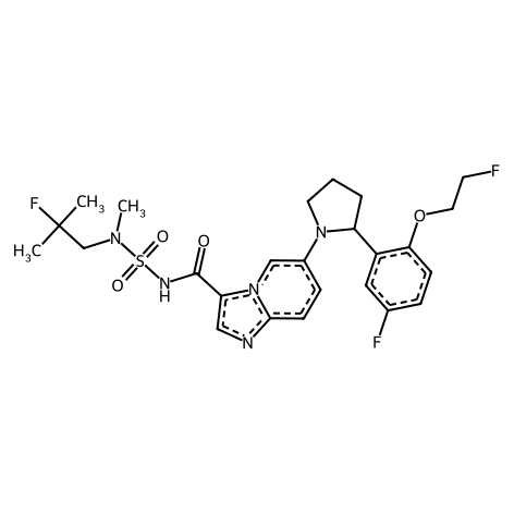 CN(CC(C)(C)F)S(=O)(=O)NC(=O)c1cnc2ccc(N3CCCC3c3cc(F)ccc3OCCF)cn12